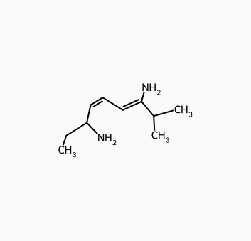 CCC(N)/C=C\C=C(/N)C(C)C